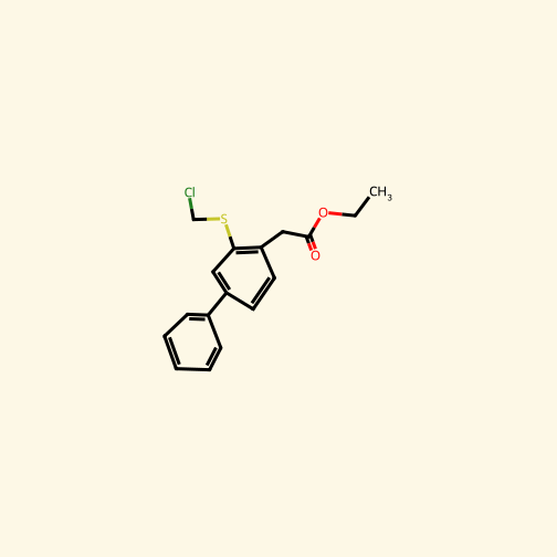 CCOC(=O)Cc1ccc(-c2ccccc2)cc1SCCl